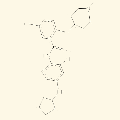 CN1CCC(Oc2ccc(Cl)cc2C(=O)Nc2ccc(NC3CCCC3)cc2Cl)CC1